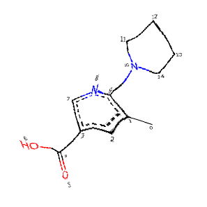 Cc1cc(C(=O)O)cnc1N1CCCC1